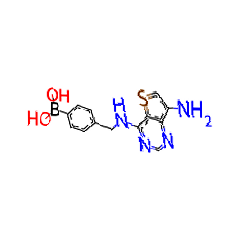 Nc1csc2c(NCc3ccc(B(O)O)cc3)ncnc12